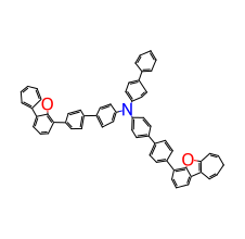 C1=Cc2oc3c(-c4ccc(-c5ccc(N(c6ccc(-c7ccccc7)cc6)c6ccc(-c7ccc(-c8cccc9c8oc8ccccc89)cc7)cc6)cc5)cc4)cccc3c2C=CC1